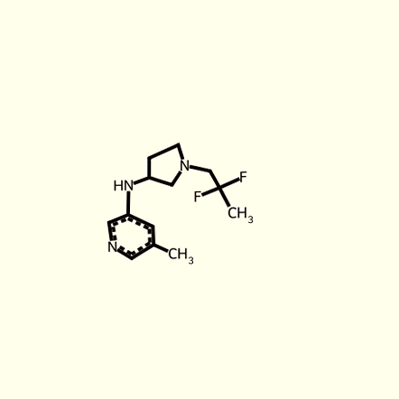 Cc1cncc(NC2CCN(CC(C)(F)F)C2)c1